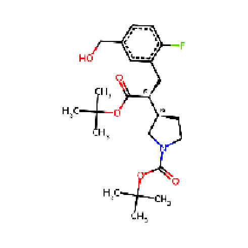 CC(C)(C)OC(=O)[C@@H](Cc1cc(CO)ccc1F)[C@H]1CCN(C(=O)OC(C)(C)C)C1